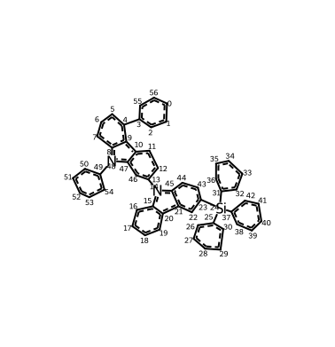 c1ccc(-c2cccc3c2c2ccc(-n4c5ccccc5c5cc([Si](c6ccccc6)(c6ccccc6)c6ccccc6)ccc54)cc2n3-c2ccccc2)cc1